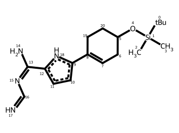 CC(C)(C)[Si](C)(C)OC1CC=C(c2ccc(/C(N)=N\C=N)[nH]2)CC1